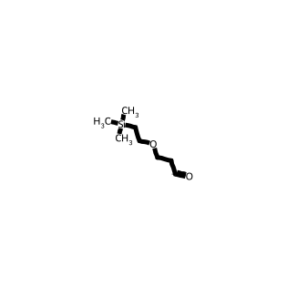 C[Si](C)(C)CCOCC[C]=O